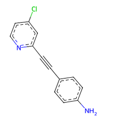 Nc1ccc(C#Cc2cc(Cl)ccn2)cc1